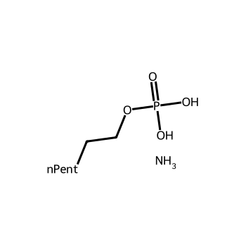 CCCCCCCOP(=O)(O)O.N